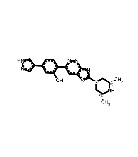 C[C@@H]1CN(c2nc3nnc(-c4ccc(-c5cn[nH]c5)cc4O)cc3s2)C[C@H](C)N1